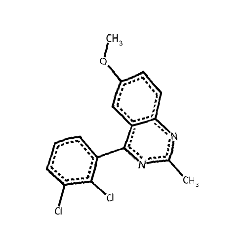 COc1ccc2nc(C)nc(-c3cccc(Cl)c3Cl)c2c1